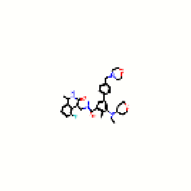 CCN(c1cc(-c2ccc(CN3CCOCC3)cc2)cc(C(O)NCC2C(=O)NC(C)c3cccc(F)c32)c1C)C1CCOCC1